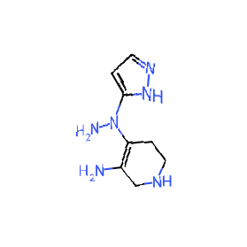 NC1=C(N(N)c2ccn[nH]2)CCNC1